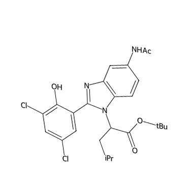 CC(=O)Nc1ccc2c(c1)nc(-c1cc(Cl)cc(Cl)c1O)n2C(CC(C)C)C(=O)OC(C)(C)C